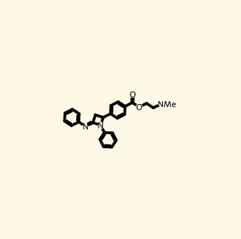 CNCCOC(=O)c1ccc(C2C/C(=N\c3ccccc3)N2c2ccccc2)cc1